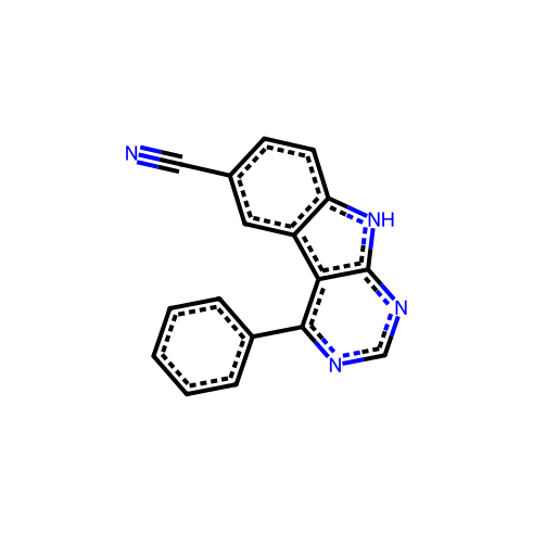 N#Cc1ccc2[nH]c3ncnc(-c4ccccc4)c3c2c1